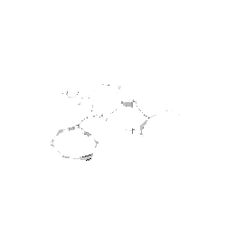 COC1=NC(C)N(N(C(=O)O)c2ccccc2)C(N)=N1